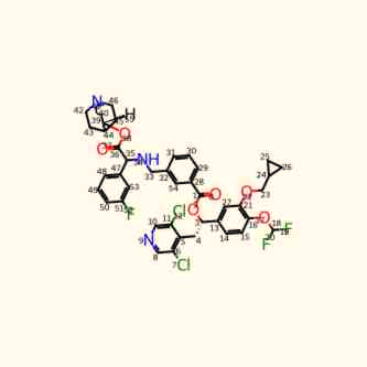 O=C(O[C@@H](Cc1c(Cl)cncc1Cl)c1ccc(OC(F)F)c(OCC2CC2)c1)c1cccc(CNC(C(=O)O[C@H]2CN3CCC2CC3)c2cccc(F)c2)c1